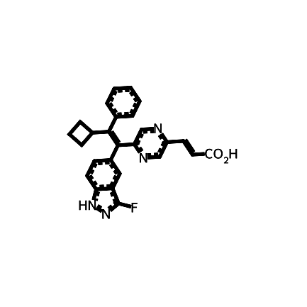 O=C(O)/C=C/c1cnc(/C(=C(\c2ccccc2)C2CCC2)c2ccc3[nH]nc(F)c3c2)cn1